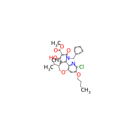 CCCCOc1cc2c(nc1Cl)-c1c(c(O)c(C(=O)OC)c(=O)n1Cc1ccccc1)C(C(C)C)CO2